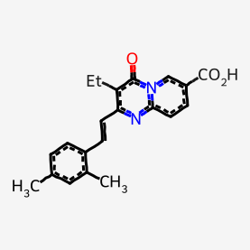 CCc1c(/C=C/c2ccc(C)cc2C)nc2ccc(C(=O)O)cn2c1=O